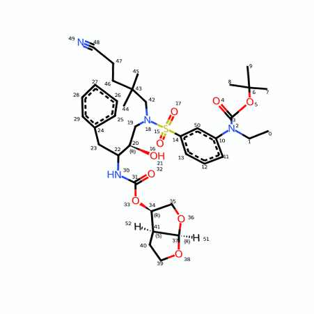 CCN(C(=O)OC(C)(C)C)c1cccc(S(=O)(=O)N(C[C@@H](O)C(Cc2ccccc2)NC(=O)O[C@H]2CO[C@H]3OCC[C@H]32)CC(C)(C)CCC#N)c1